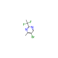 Cc1nc(C(C)(F)F)ncc1Br